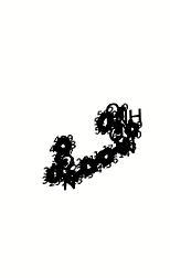 CC(=O)N[C@H](C(=O)N1CCC[C@H]1c1ncc(-c2ccc(-c3ccc(-c4cnc([C@@H]5CCCN5C(=O)Cc5ccccc5)s4)cc3)cc2)s1)C1=CC=CCC1